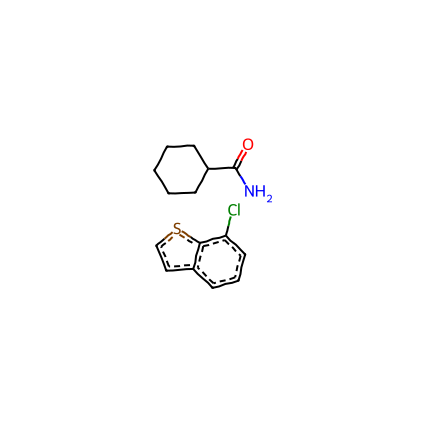 Clc1cccc2ccsc12.NC(=O)C1CCCCC1